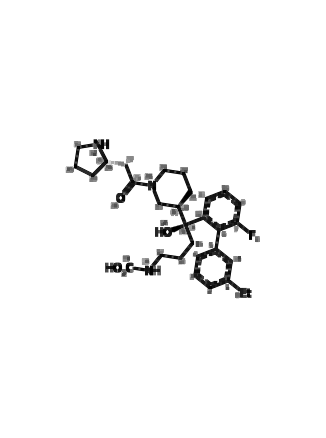 CCc1cccc(-c2c(F)cccc2[C@](O)(CCCNC(=O)O)[C@@H]2CCCN(C(=O)C[C@@H]3CCCN3)C2)c1